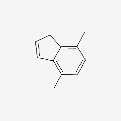 Cc1ccc(C)c2c1C=CC2